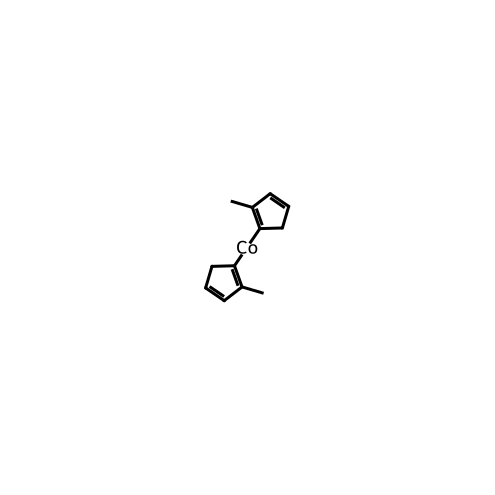 CC1=[C]([Co][C]2=C(C)C=CC2)CC=C1